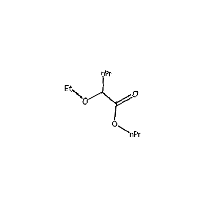 CCCOC(=O)C(CCC)OCC